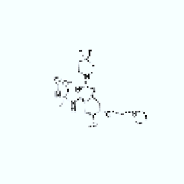 COc1cc2c(N[C@](C)(CO)NC3CC3)nc(N3CCC(F)(F)CC3)nc2cc1OCCCN1CCCC1